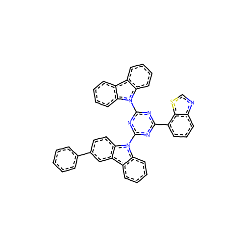 c1ccc(-c2ccc3c(c2)c2ccccc2n3-c2nc(-c3cccc4ncsc34)nc(-n3c4ccccc4c4ccccc43)n2)cc1